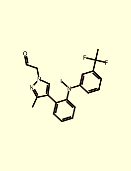 Cc1nn(CC=O)cc1-c1ccccc1N(I)c1cccc(C(C)(F)F)c1